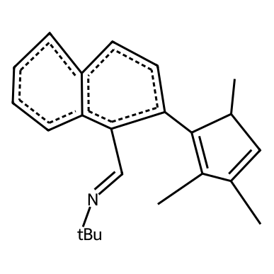 CC1=CC(C)C(c2ccc3ccccc3c2/C=N/C(C)(C)C)=C1C